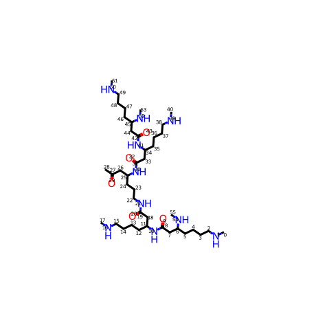 CNCCCCC(CC(=O)NC(CCCCNC)CC(=O)NCCCC(CC(C)=O)NC(=O)CC(CCCCNC)NC(=O)CC(CCCCNC)NC)NC